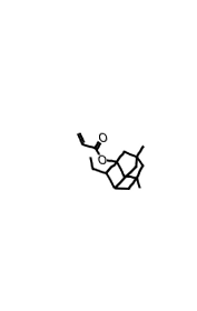 C=CC(=O)OC12CC3(C)CC(CC(C)(C3)C1)C2CC